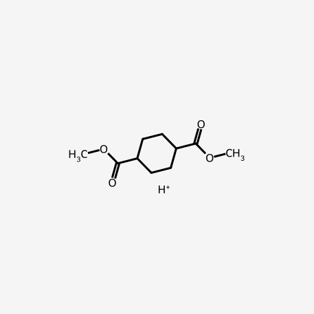 COC(=O)C1CCC(C(=O)OC)CC1.[H+]